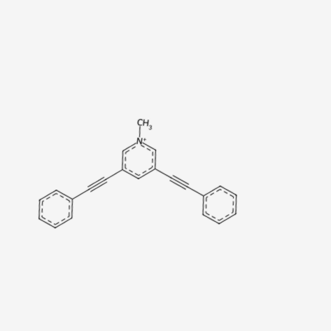 C[n+]1cc(C#Cc2ccccc2)cc(C#Cc2ccccc2)c1